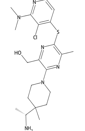 Cc1nc(N2CCC(C)([C@@H](C)N)CC2)c(CO)nc1Sc1ccnc(N(C)C)c1Cl